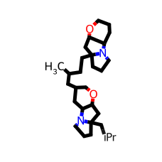 CC(C)CC12CCCN1C1CC(CC(C)CCC34CCCN3C3CCCOC3C4)COC1C2